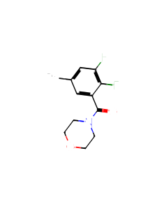 CC(C)c1cc(F)c(F)c(C(=O)N2CCOCC2)c1